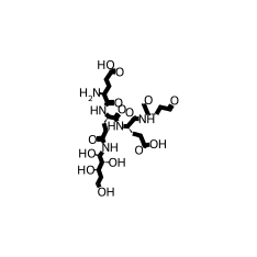 N[C@@H](CCC(=O)O)C(=O)N[C@@H](CCC(=O)N[C@@H](O)[C@H](O)[C@@H](O)CCO)C(=O)N[C@@H](CCC(=O)O)C(=O)N[C@H](C=O)CCC=O